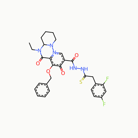 CCN1C(=O)c2c(OCc3ccccc3)c(=O)c(C(=O)NNC(=S)Cc3ccc(F)cc3F)cn2N2CCCCC12